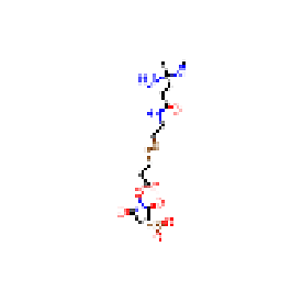 C=NC(C)(N)CCC(=O)NCCSSCCC(=O)ON1C(=O)CC([SH](=O)=O)C1=O